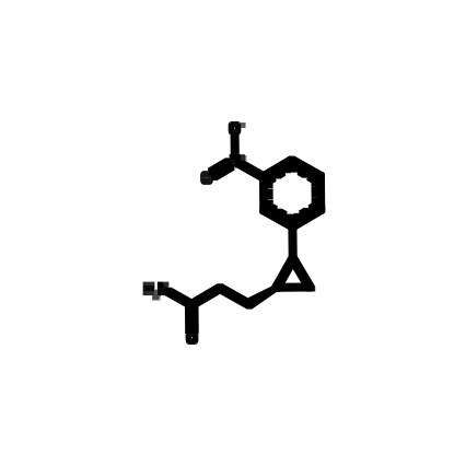 NC(=O)CC[C@@H]1CC1c1cccc([N+](=O)[O-])c1